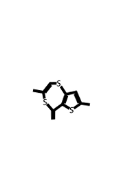 C=C1SC(C)=CSc2cc(C)sc21